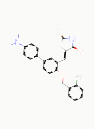 CN(C)c1ccc(-c2ccc(OCc3ccccc3Br)c(C=C3SC(=S)NC3=O)c2)cc1